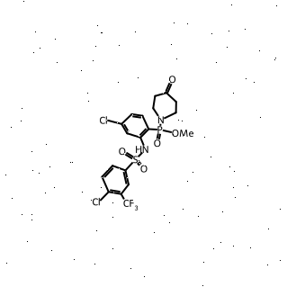 COP(=O)(c1ccc(Cl)cc1NS(=O)(=O)c1ccc(Cl)c(C(F)(F)F)c1)N1CCC(=O)CC1